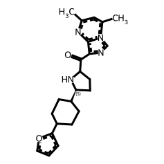 Cc1cc(C)n2cnc(C(=O)C3CC[C@@H](C4CCC(c5ccco5)CC4)N3)c2n1